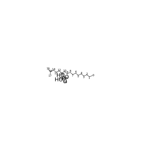 CCCCCCCCCC(CCCCCC(C)C)OP(=O)(O)O